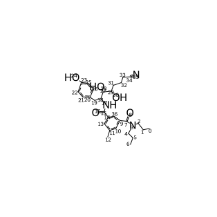 CCCN(CCC)C(=O)c1cc(C)cc(C(=O)NC(Cc2ccc(O)cc2)C(O)C(O)CCCC#N)c1